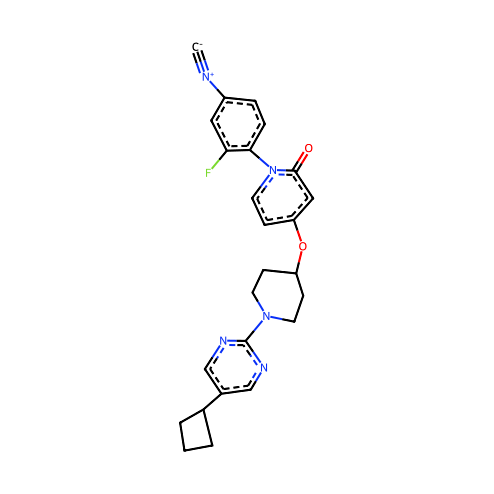 [C-]#[N+]c1ccc(-n2ccc(OC3CCN(c4ncc(C5CCC5)cn4)CC3)cc2=O)c(F)c1